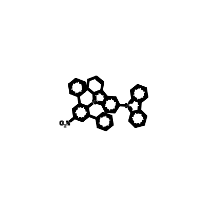 O=[N+]([O-])c1cc(-c2c#cccc2)c(-n2c3c(c4cc(-n5c6ccccc6c6ccccc65)ccc42)C=CCC3)c(-c2ccccc2)c1